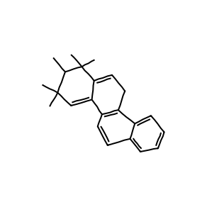 CC1C(C)(C)C=C2C(=CCc3c2ccc2ccccc32)C1(C)C